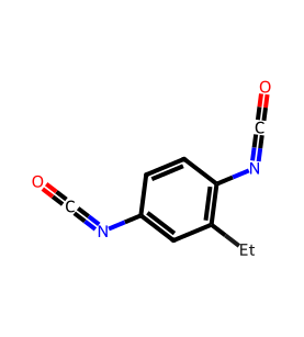 CCc1cc(N=C=O)ccc1N=C=O